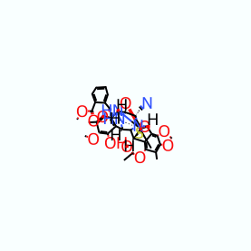 COC(=O)c1ccccc1C(=O)N[C@H]1CS[C@@H]2c3c(OC(C)=O)c(C)c4c(c3[C@H](COC1=O)N1C2[C@@H]2N[C@@H](Cc3cc(C)c(OC)c(O)c32)[C@@H]1C#N)OCO4